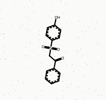 O=C(CS(=O)(=O)c1ccc(O)cc1)c1ccccc1